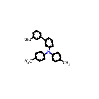 Cc1ccc(N(c2ccc(C)cc2)c2cccc(-c3cccc(C(C)(C)C)c3)c2)cc1